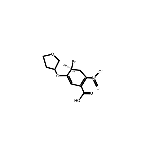 [2H][C@]1(Br)CC([N+](=O)[O-])=C(C(=O)O)C=C1OC1CCOC1